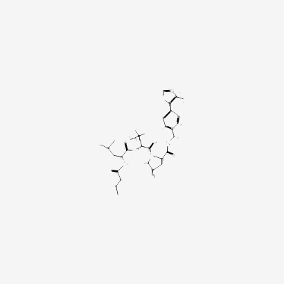 CCCC(=O)NC(CC(C)C)C(=O)NC(C(=O)N1CC(O)CC1C(=O)NCc1ccc(-c2scnc2C)cc1)C(C)(C)C